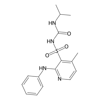 Cc1ccnc(Nc2ccccc2)c1S(=O)(=O)NC(=O)NC(C)C